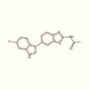 CC(=O)Nc1nc2ccc(-c3c[nH]c4cc(F)ccc34)cc2o1